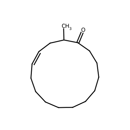 CC1C/C=C\CCCCCCCCCCC1=O